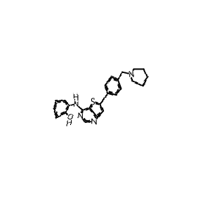 Oc1ccccc1Nc1ncnc2cc(-c3ccc(CN4CCCCC4)cc3)sc12